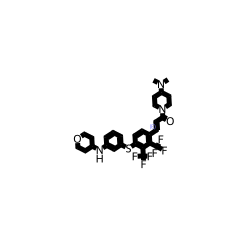 CN(C)C1CCN(C(=O)/C=C/c2ccc(Sc3cccc(NC4CCOCC4)c3)c(C(F)(F)F)c2C(F)(F)F)CC1